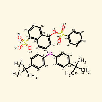 CC(C)(C)c1ccc([I+]c2ccc(C(C)(C)C)cc2)cc1.O=S(=O)([O-])c1cccc2c(OS(=O)(=O)c3ccccc3)cccc12